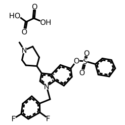 CN1CCC(c2cn(Cc3ccc(F)cc3F)c3ccc(OS(=O)(=O)c4ccccc4)cc23)CC1.O=C(O)C(=O)O